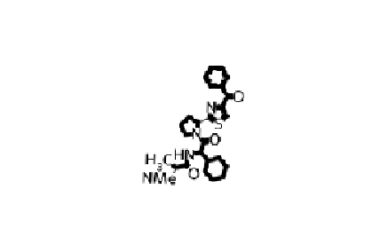 CN[C@H](C)C(=O)NC(C(=O)N1CCC[C@@H]1c1nc(C(=O)c2ccccc2)cs1)C1CCCCC1